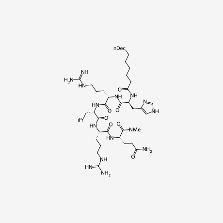 CCCCCCCCCCCCCCCC(=O)N[C@@H](Cc1c[nH]cn1)C(=O)N[C@@H](CCCNC(=N)N)C(=O)N[C@@H](CC(C)C)C(=O)N[C@@H](CCCNC(=N)N)C(=O)N[C@@H](CCC(N)=O)C(=O)NC